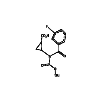 CC(C)(C)OC(=O)N(C(=O)c1cccc(F)c1)C1CC1C(=O)O